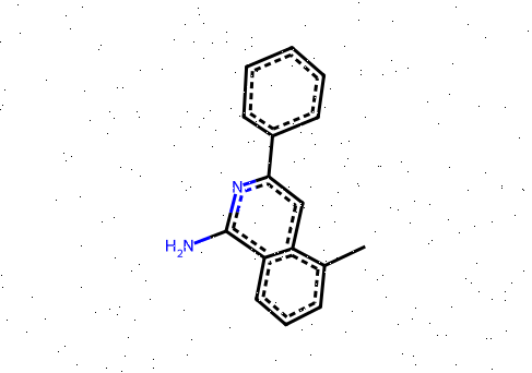 Cc1cccc2c(N)nc(-c3ccccc3)cc12